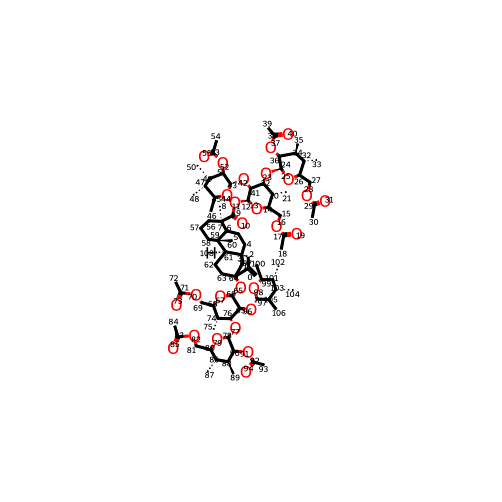 C=C1C[C@@]23CCC4[C@](C)(C(=O)O[C@@H]5OC(COC(C)=O)[C@@H](C)[C@H](O[C@@H]6OC(COC(C)=O)[C@@H](C)[C@H](C)C6OC(C)=O)C5O[C@@H]5OC(C)[C@H](C)[C@H](C)C5OC(C)=O)CCC[C@@]4(C)[C@@H]2CCC1(O[C@@H]1OC(COC(C)=O)[C@@H](C)[C@@H](O[C@@H]2OC(COC(C)=O)[C@@H](C)[C@H](C)C2OC(C)=O)C1O[C@@H]1OC(C)[C@H](C)[C@H](C)C1C)C3